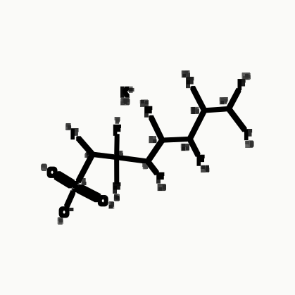 O=S(=O)([O-])C(F)C(F)(F)C(F)C(F)C(F)C(F)C(F)F.[K+]